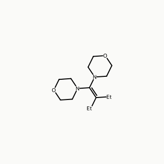 CCC(CC)=C(N1CCOCC1)N1CCOCC1